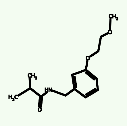 COCCOc1cccc(CNC(=O)C(C)C)c1